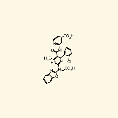 CC1=C(C(=O)Nc2cc(C(=O)O)ccn2)C(c2ccccc2Cl)N=C(N(CC(=O)O)c2nc3ccccc3o2)N1